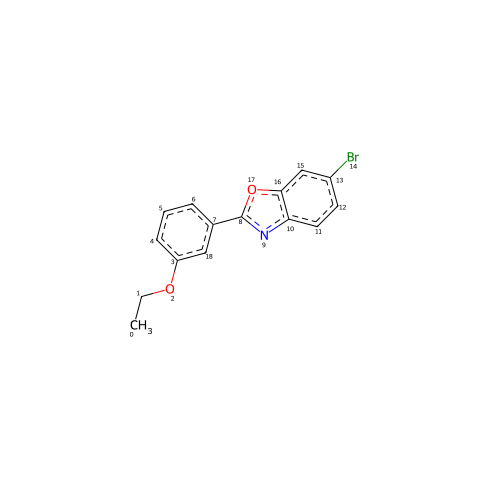 CCOc1cccc(-c2nc3ccc(Br)cc3o2)c1